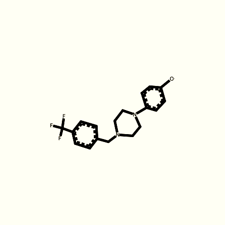 [O]c1ccc(N2CCN(Cc3ccc(C(F)(F)F)cc3)CC2)cc1